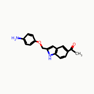 CC(=O)c1ccc2[nH]c(COc3ccc(N)cc3)cc2c1